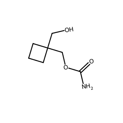 NC(=O)OCC1(CO)CCC1